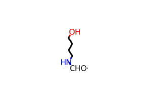 O=[C]NCCCCO